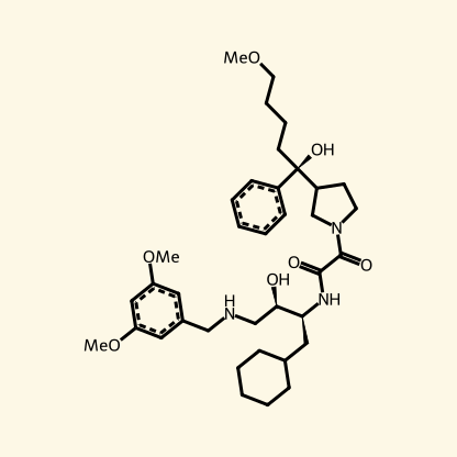 COCCCC[C@@](O)(c1ccccc1)C1CCN(C(=O)C(=O)N[C@@H](CC2CCCCC2)[C@H](O)CNCc2cc(OC)cc(OC)c2)C1